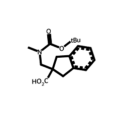 CN(CC1(C(=O)O)Cc2ccccc2C1)C(=O)OC(C)(C)C